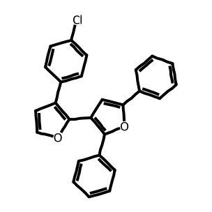 Clc1ccc(-c2ccoc2-c2cc(-c3ccccc3)oc2-c2ccccc2)cc1